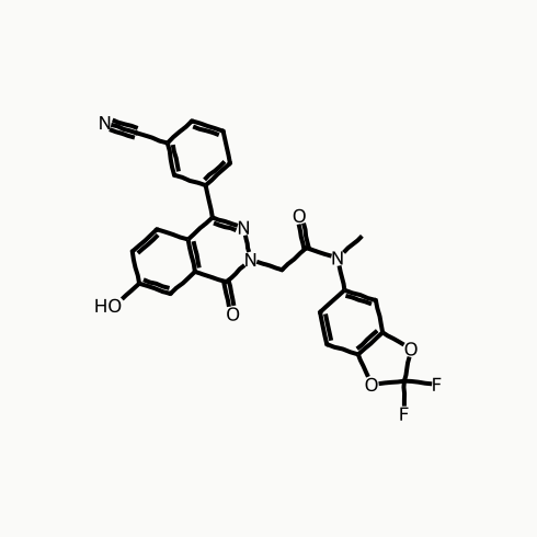 CN(C(=O)Cn1nc(-c2cccc(C#N)c2)c2ccc(O)cc2c1=O)c1ccc2c(c1)OC(F)(F)O2